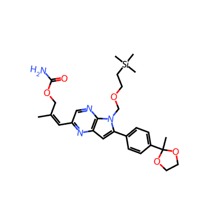 CC(=Cc1cnc2c(cc(-c3ccc(C4(C)OCCO4)cc3)n2COCC[Si](C)(C)C)n1)COC(N)=O